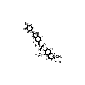 COc1c(NC(=O)Nc2ccc3[nH]c(-c4ccc(F)c(F)c4)nc3c2)ccc2c1C=CC(C)(C)O2